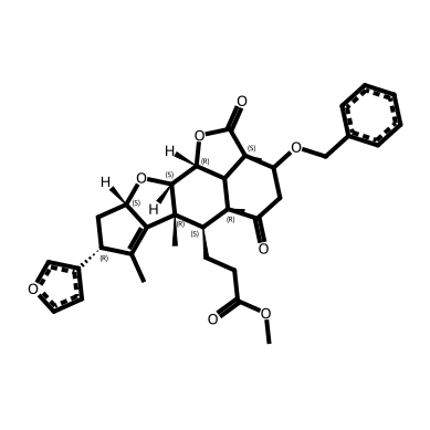 COC(=O)CC[C@H]1[C@]2(C)C3=C(C)[C@H](c4ccoc4)C[C@@H]3O[C@@H]2[C@@H]2OC(=O)[C@]3(C)C(OCc4ccccc4)CC(=O)[C@@]1(C)C23